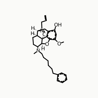 C=CCN1CC[C@]23c4c5c(O)cc(OC)c4O[C@H]2[C@@H](N(C)CCCCCCc2ccccc2)CC[C@H]3[C@H]1C5